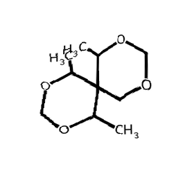 CC1OCOCC12C(C)OCOC2C